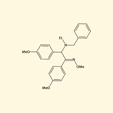 CCN(Cc1ccccc1)C(C(=NOC)c1ccc(OC)cc1)c1ccc(OC)cc1